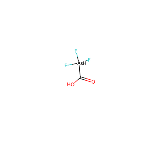 O=C(O)[AsH](F)(F)F